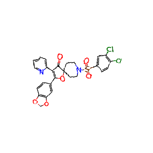 O=C1C(c2ccccn2)=C(c2ccc3c(c2)OCO3)OC12CCN(S(=O)(=O)c1ccc(Cl)c(Cl)c1)CC2